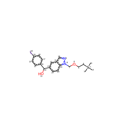 C[Si](C)(C)CCOCn1ncc2cc(C(O)c3ccc(I)cc3)ccc21